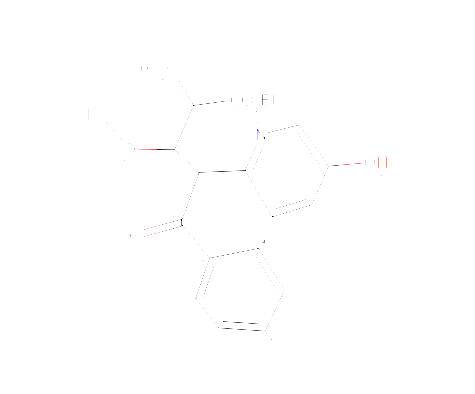 CCOC(=O)C(C(=O)OCC)C(OCC)C(C(=O)c1ccccc1)c1ccc(O)cn1